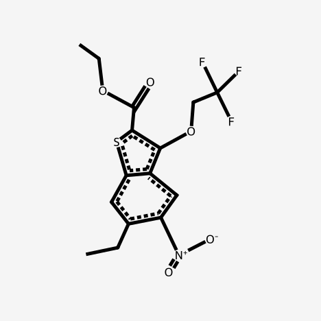 CCOC(=O)c1sc2cc(CC)c([N+](=O)[O-])cc2c1OCC(F)(F)F